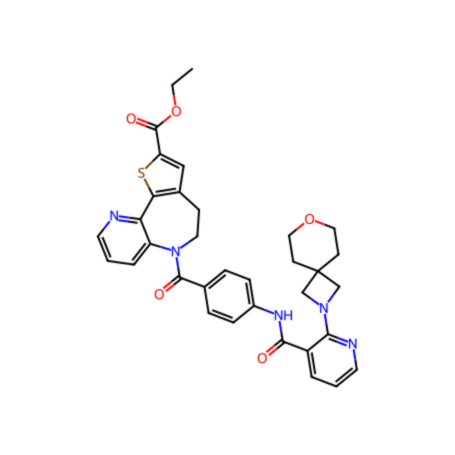 CCOC(=O)c1cc2c(s1)-c1ncccc1N(C(=O)c1ccc(NC(=O)c3cccnc3N3CC4(CCOCC4)C3)cc1)CC2